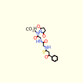 O=C(O)CN(C(=O)CNC(=O)CNC(=S)CC(=O)c1ccccc1)N1C(=O)CCC1=O